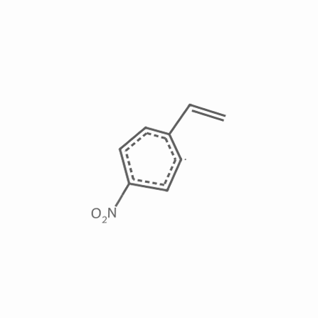 C=Cc1[c]cc([N+](=O)[O-])cc1